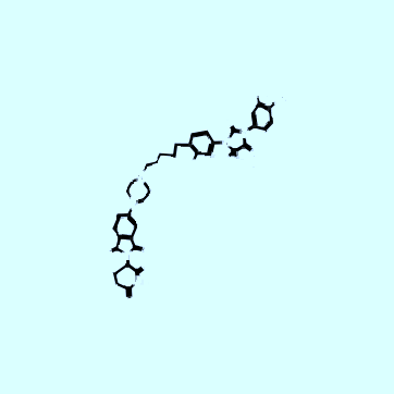 CC1(C)C(=O)N(c2ccc(C#N)c(C(F)(F)F)c2)C(=S)N1c1ccc(CCCCCN2CCN(c3ccc4c(c3)C(=O)N(C3CCC(=O)NC3=O)C4=O)CC2)c(F)c1